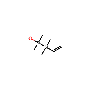 C=C[Si](C)(C)[Si](C)(C)[O]